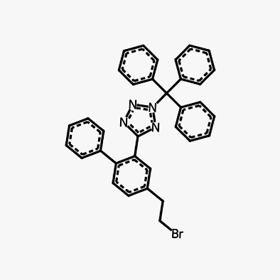 BrCCc1ccc(-c2ccccc2)c(-c2nnn(C(c3ccccc3)(c3ccccc3)c3ccccc3)n2)c1